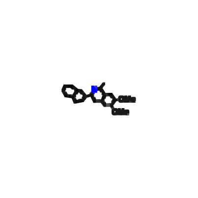 COc1cc2cc(-c3ccc4ccccc4c3)nc(C)c2cc1OC